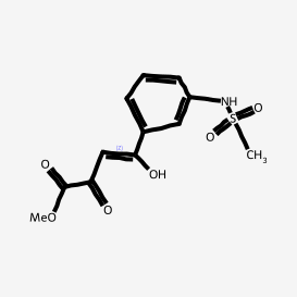 COC(=O)C(=O)/C=C(\O)c1cccc(NS(C)(=O)=O)c1